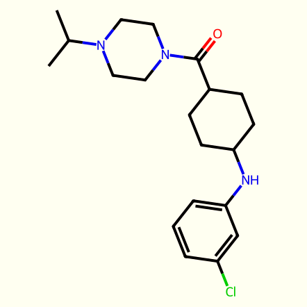 CC(C)N1CCN(C(=O)C2CCC(Nc3cccc(Cl)c3)CC2)CC1